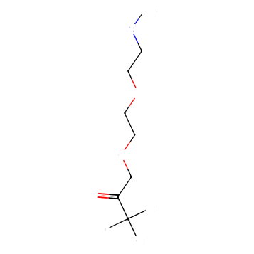 CCC(C)(C)C(=O)COCCOCCNC(C)(C)C